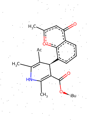 CC[C@H](C)OC(=O)C1=C(C)NC(C)=C(C(C)=O)[C@H]1c1cccc2c(=O)cc(C)oc12